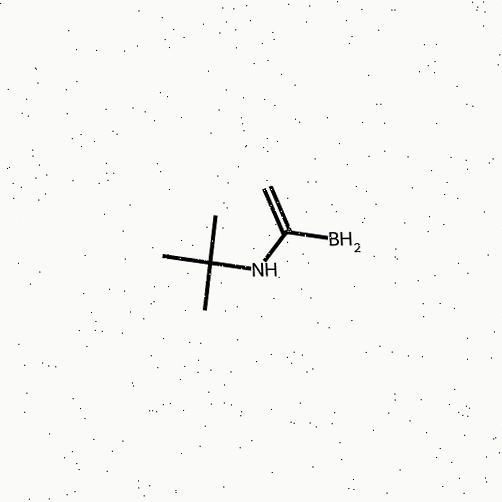 BC(=C)NC(C)(C)C